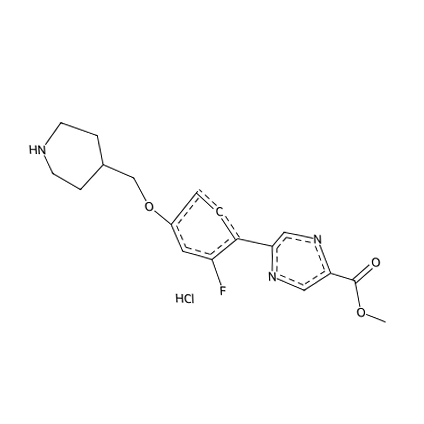 COC(=O)c1cnc(-c2ccc(OCC3CCNCC3)cc2F)cn1.Cl